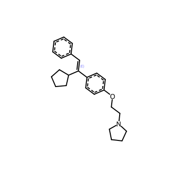 C(=C(\c1ccc(OCCN2CCCC2)cc1)C1CCCC1)/c1ccccc1